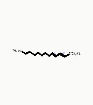 CCCCCCCCCCCCCCCCC/C=C/C=C/C(=O)OCC